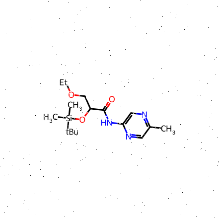 CCOCC(O[Si](C)(C)C(C)(C)C)C(=O)Nc1cnc(C)cn1